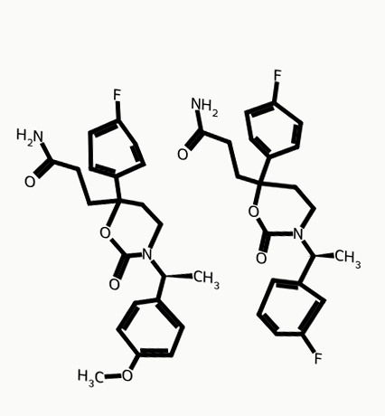 COc1ccc([C@H](C)N2CCC(CCC(N)=O)(c3ccc(F)cc3)OC2=O)cc1.C[C@@H](c1cccc(F)c1)N1CCC(CCC(N)=O)(c2ccc(F)cc2)OC1=O